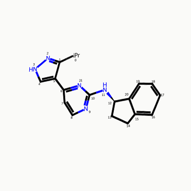 CC(C)c1n[nH]cc1-c1ccnc(N[C@@H]2CCc3ccccc32)n1